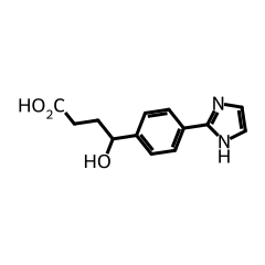 O=C(O)CCC(O)c1ccc(-c2ncc[nH]2)cc1